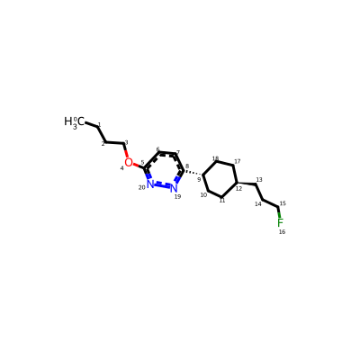 CCCCOc1ccc([C@H]2CC[C@H](CCCF)CC2)nn1